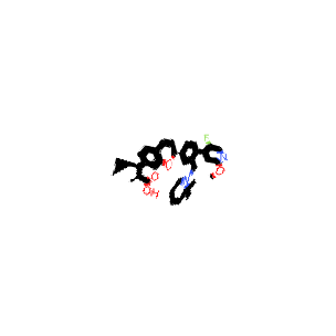 COc1cc(-c2ccc([C@H]3CCc4ccc(C(C5CC5)[C@H](C)C(=O)O)cc4O3)cc2CN2CCCCC2(C)C)c(F)cn1